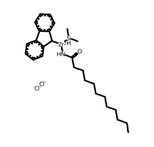 CCCCCCCCCCCC(=O)[NH][Zr+2]([CH]1c2ccccc2-c2ccccc21)[SiH](C)C.[Cl-].[Cl-]